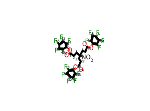 O=C(CCC(CCC(=O)Oc1c(F)c(F)c(F)c(F)c1F)(CCC(=O)Oc1c(F)c(F)c(F)c(F)c1F)[N+](=O)[O-])Oc1c(F)c(F)c(F)c(F)c1F